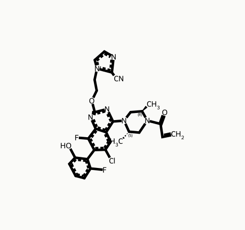 C=CC(=O)N1C[C@H](C)N(c2nc(OCCn3ccnc3C#N)nc3c(F)c(-c4c(O)cccc4F)c(Cl)cc23)C[C@H]1C